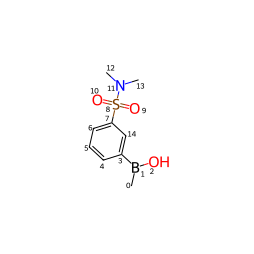 CB(O)c1cccc(S(=O)(=O)N(C)C)c1